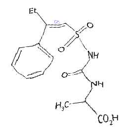 CC/C(=C/S(=O)(=O)NC(=O)NC(C)C(=O)O)c1ccccc1